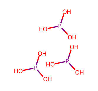 OP(O)O.OP(O)O.OP(O)O